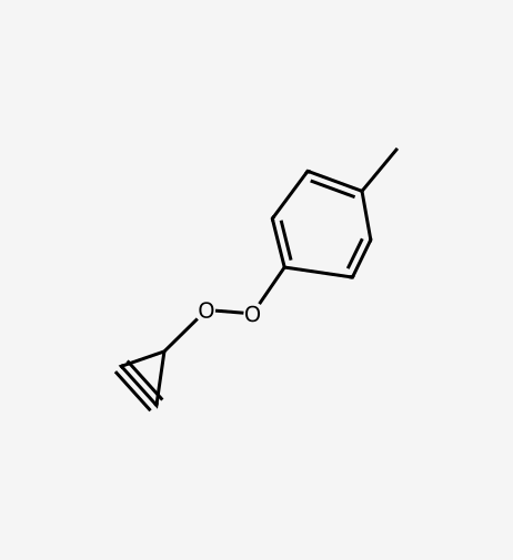 Cc1ccc(OOC2C#C2)cc1